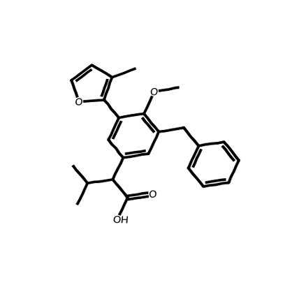 COc1c(Cc2ccccc2)cc(C(C(=O)O)C(C)C)cc1-c1occc1C